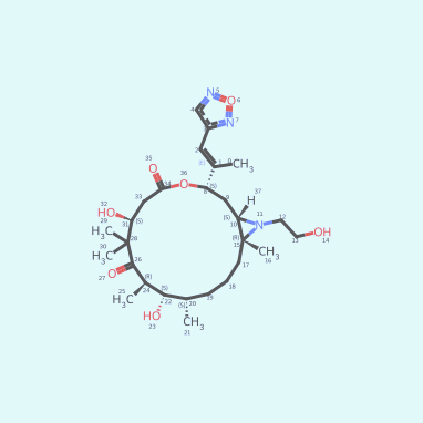 C/C(=C\c1cnon1)[C@@H]1C[C@@H]2N(CCO)[C@]2(C)CCC[C@H](C)[C@H](O)[C@@H](C)C(=O)C(C)(C)[C@@H](O)CC(=O)O1